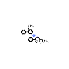 C=C(/C=C\CCC)c1ccccc1Nc1ccc(CC)c(-c2ccccc2)c1